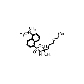 CN(C)c1cccc2c(S(=O)(=O)NC(C)(C)CCCOCC(C)(C)C)cccc12